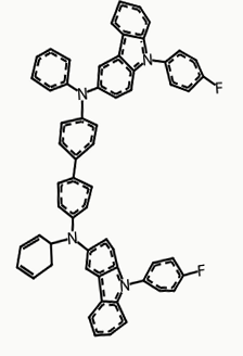 Fc1ccc(-n2c3ccccc3c3cc(N(c4ccccc4)c4ccc(-c5ccc(N(c6ccc7c(c6)c6ccccc6n7-c6ccc(F)cc6)C6C=CC=CC6)cc5)cc4)ccc32)cc1